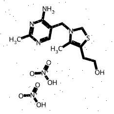 CC1=C(CCO)SCN1Cc1cnc(C)nc1N.O=[N+]([O-])O.O=[N+]([O-])O